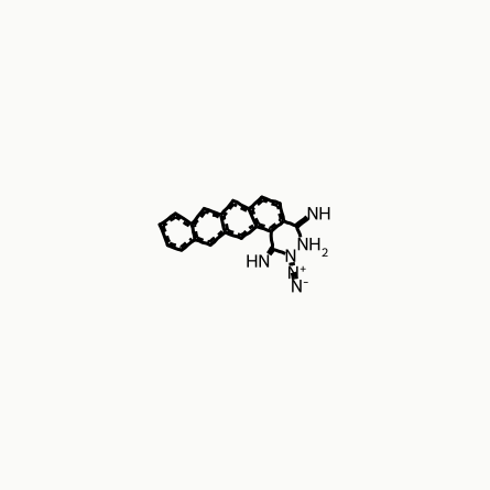 [N-]=[N+]=NC(=N)c1c(C(=N)N)ccc2cc3cc4ccccc4cc3cc12